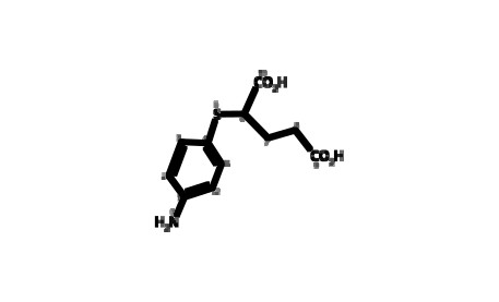 Nc1ccc(SC(CCC(=O)O)C(=O)O)cc1